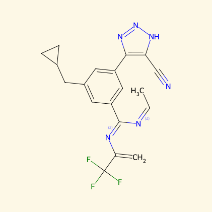 C=C(/N=C(\N=C/C)c1cc(CC2CC2)cc(-c2nn[nH]c2C#N)c1)C(F)(F)F